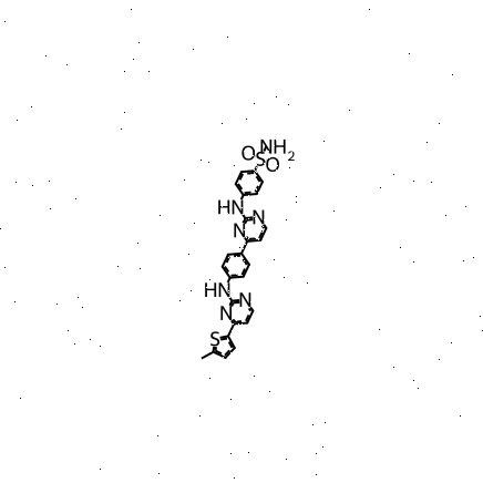 Cc1ccc(-c2ccnc(Nc3ccc(-c4ccnc(Nc5ccc(S(N)(=O)=O)cc5)n4)cc3)n2)s1